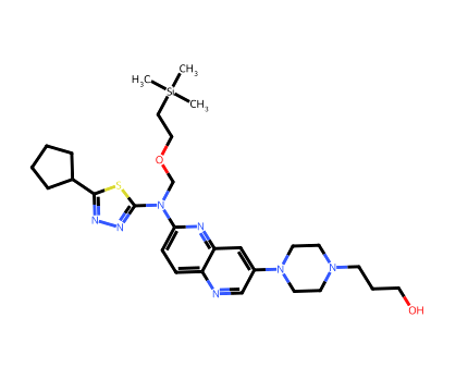 C[Si](C)(C)CCOCN(c1ccc2ncc(N3CCN(CCCO)CC3)cc2n1)c1nnc(C2CCCC2)s1